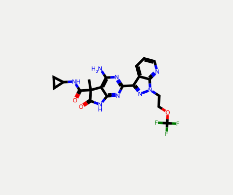 CC1(C(=O)NC2CC2)C(=O)Nc2nc(-c3nn(CCOC(F)(F)F)c4ncccc34)nc(N)c21